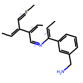 C/B=C\C(=CC)C(/C=N\C(=C\C)c1cccc(CN)c1)=C/C